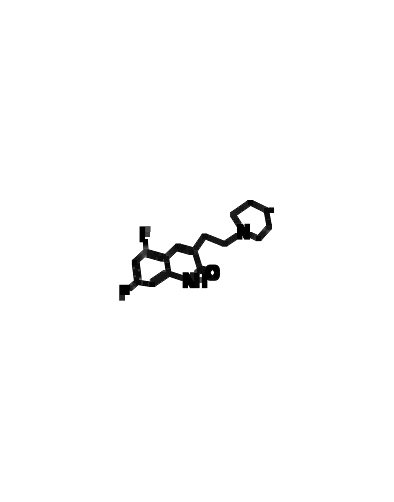 O=c1[nH]c2cc(F)cc(F)c2cc1CCN1CC[CH]CC1